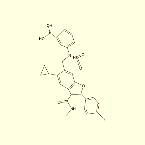 CNC(=O)c1c(-c2ccc(F)cc2)oc2cc(CN(c3cccc(B(O)O)c3)[SH](=O)=O)c(C3CC3)cc12